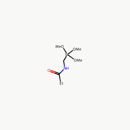 CCC(=O)NC[Si](OC)(OC)OC